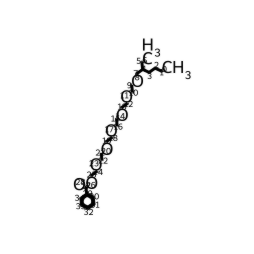 CCCCC(CC)COCCOCCOCCOCCOCCOCCOC(=O)c1ccccc1